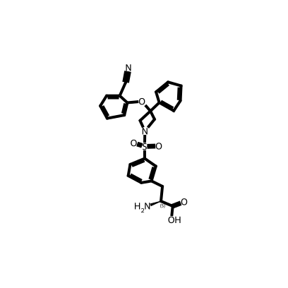 N#Cc1ccccc1OC1(c2ccccc2)CN(S(=O)(=O)c2cccc(C[C@H](N)C(=O)O)c2)C1